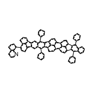 c1ccc(-c2c3c(c(-c4ccccc4)c4ccccc24)-c2ccc4c5ccc6c7c(-c8ccccc8)c8cc9c(cc8c(-c8ccccc8)c7c7ccc(c8ccc-3c2c84)c5c76)c2cccc3c(-c4cccc5cccnc45)ccc9c32)cc1